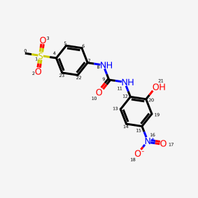 CS(=O)(=O)c1ccc(NC(=O)Nc2ccc([N+](=O)[O-])cc2O)cc1